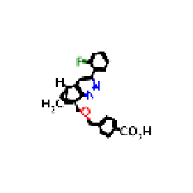 C=C1[C@@H]2CC[C@@]1(COCc1ccc(C(=O)O)cc1)c1nnc(-c3ccccc3F)cc12